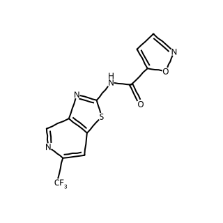 O=C(Nc1nc2cnc(C(F)(F)F)cc2s1)c1ccno1